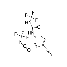 N#Cc1ccc(NC(=O)NC(F)(F)F)cc1.O=C=NC(F)(F)F